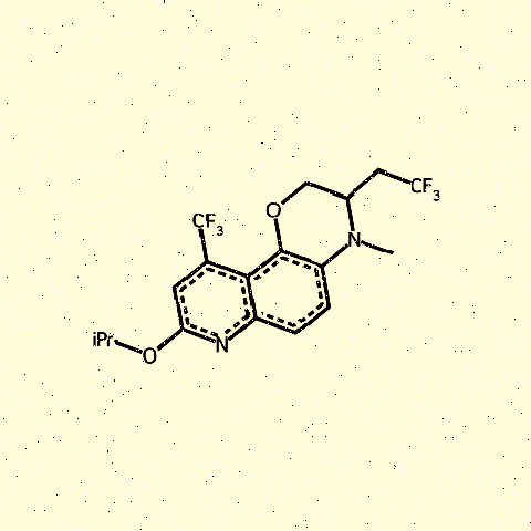 CC(C)Oc1cc(C(F)(F)F)c2c3c(ccc2n1)N(C)C(CC(F)(F)F)CO3